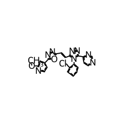 COc1cc(-c2nnc(C=Cc3nnc(-c4ccncn4)n3-c3ccccc3Cl)o2)ccn1